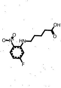 O=C(O)CCCCNc1cc(F)ccc1[N+](=O)[O-]